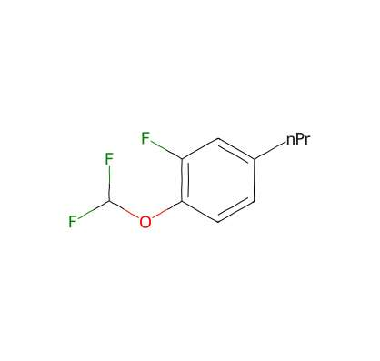 C[CH]Cc1ccc(OC(F)F)c(F)c1